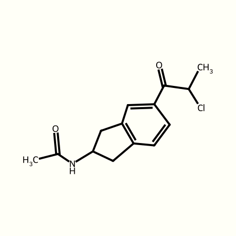 CC(=O)NC1Cc2ccc(C(=O)C(C)Cl)cc2C1